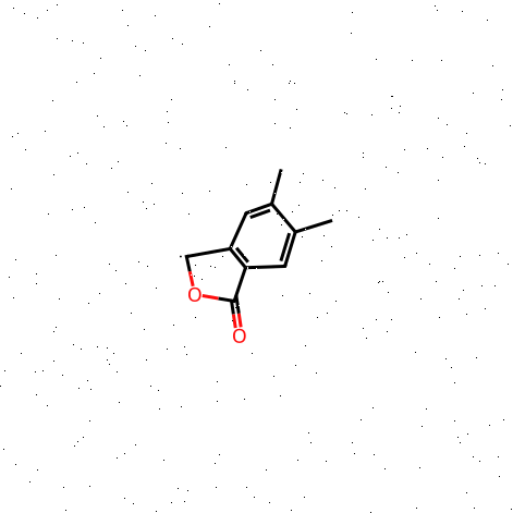 Cc1cc2c(cc1C)C(=O)O[CH]2